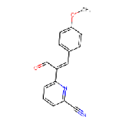 COc1ccc(/C=C(\C=O)c2cccc(C#N)n2)cc1